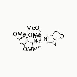 COCc1cc(OC)c(-c2cccc3c(N(CC4CCOCC4)CC4CC4)c(COC)nn23)c(OC)c1